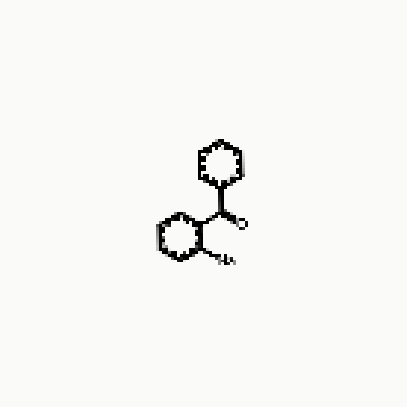 O=C(c1ccccc1)c1cccc[c]1[Na]